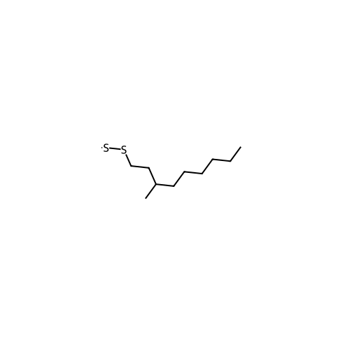 CCCCCCC(C)CCS[S]